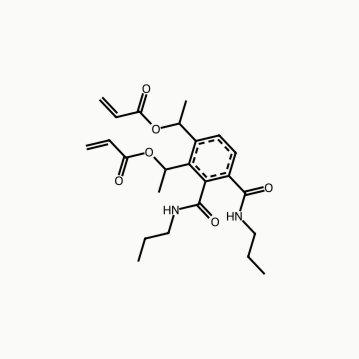 C=CC(=O)OC(C)c1ccc(C(=O)NCCC)c(C(=O)NCCC)c1C(C)OC(=O)C=C